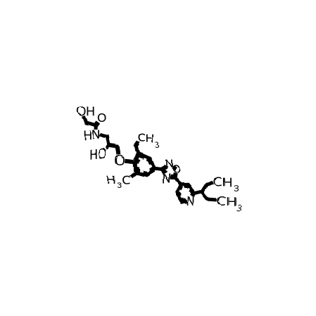 CCc1cc(-c2noc(-c3ccnc(C(CC)CC)c3)n2)cc(C)c1OCC(O)CNC(=O)CO